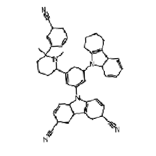 CN1C(C2=CC(N3C4=C(CC(C#N)C=C4)C4CC(C#N)C=CC43)=CC(N3C4=C(CCCC4)C4C=CC=CC43)C2)CCCC1(C)C1=CC(C#N)CC=C1